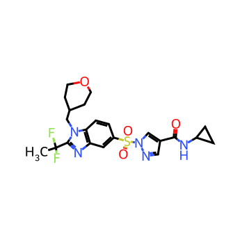 CC(F)(F)c1nc2cc(S(=O)(=O)n3cc(C(=O)NC4CC4)cn3)ccc2n1CC1CCOCC1